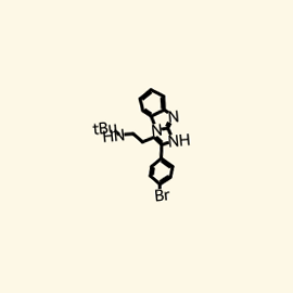 CC(C)(C)NCCc1c(-c2ccc(Br)cc2)[nH]c2nc3ccccc3n12